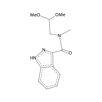 COC(CN(C)C(=O)c1n[nH]c2ccccc12)OC